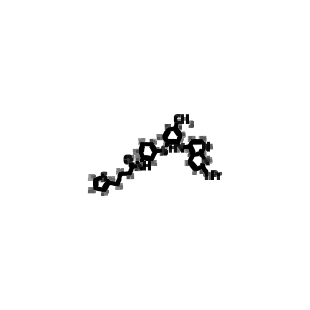 CCCc1ccc2c(Nc3cc(C)ccc3Sc3cccc(NC(=O)CCCc4cccs4)c3)ccnc2n1